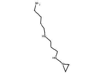 NCCCCNCCCNN1CC1